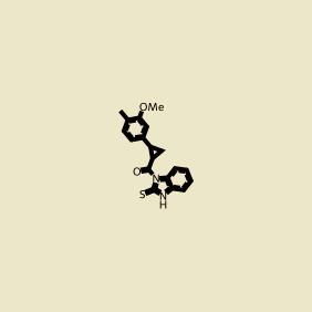 COc1cc(C2CC2C(=O)n2c(=S)[nH]c3ccccc32)ccc1C